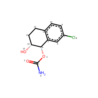 NC(=O)O[C@H]1c2cc(Cl)ccc2CC[C@H]1O